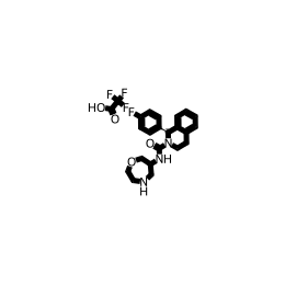 O=C(NC1CNCCOC1)N1CCc2ccccc2[C@H]1c1ccc(F)cc1.O=C(O)C(F)(F)F